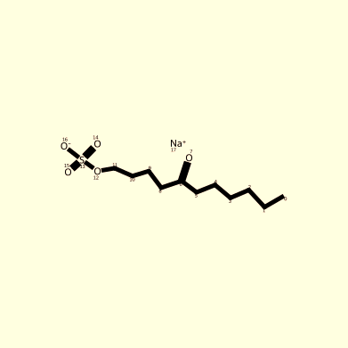 CCCCCCC(=O)CCCCOS(=O)(=O)[O-].[Na+]